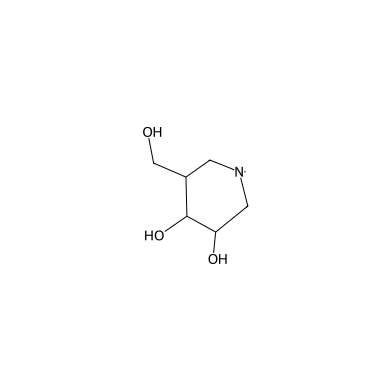 OCC1C[N]CC(O)C1O